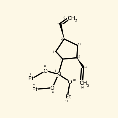 C=C[C@@H]1CC([Si](OCC)(OCC)OCC)[C@H](C=C)C1